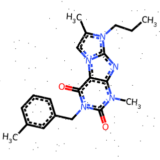 CCCn1c(C)cn2c3c(=O)n(Cc4cccc(C)c4)c(=O)n(C)c3nc12